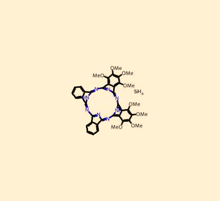 COc1c(OC)c(OC)c2c(c1OC)-c1nc-2nc2[nH]c(nc3nc(nc4[nH]c(n1)c1ccccc41)-c1ccccc1-3)c1c(OC)c(OC)c(OC)c(OC)c21.[SiH4]